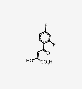 O=C(O)/C(O)=C\C(=O)c1ccc(F)cc1F